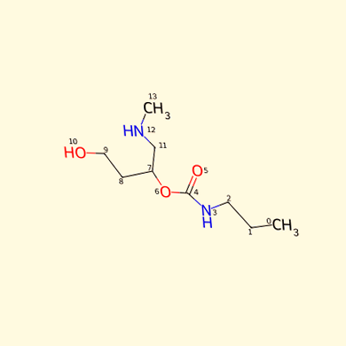 CCCNC(=O)OC(CCO)CNC